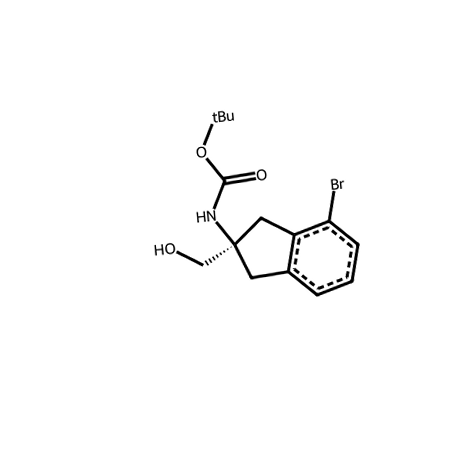 CC(C)(C)OC(=O)N[C@]1(CO)Cc2cccc(Br)c2C1